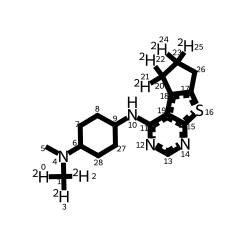 [2H]C([2H])([2H])N(C)C1CCC(Nc2ncnc3sc4c(c23)C([2H])([2H])C([2H])([2H])C4)CC1